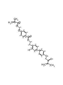 C=C(C)C(=O)COc1ccc(-c2ccc(CCOC(=O)c3ccc(OCOC(=O)C(=C)C)cc3)c(F)c2)cc1